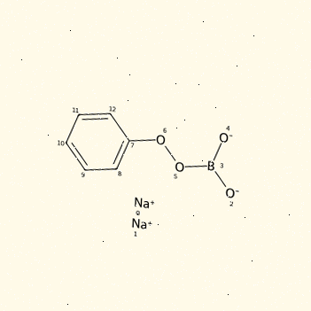 [Na+].[Na+].[O-]B([O-])OOc1ccccc1